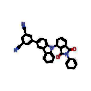 N#Cc1cc(C#N)cc(-c2ccc3c(c2)c2ccccc2n3-c2cccc3c2C(=O)N(c2ccccc2)C3=O)c1